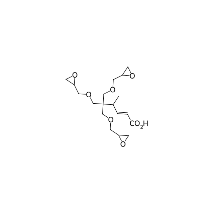 CC(C=CC(=O)O)C(COCC1CO1)(COCC1CO1)COCC1CO1